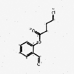 O=Cc1ccccc1OC(=O)CCCCl